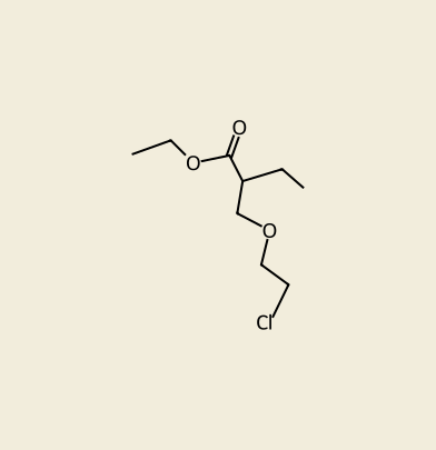 CCOC(=O)C(CC)COCCCl